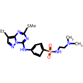 CCc1cnn2c(Nc3ccc(S(=O)(=O)NCCN(C)C)cc3)nc(SC)nc12